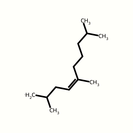 [CH2]C(C)CC=C(C)CCCC(C)C